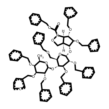 C[C@H]1O[C@@H](O[C@H]2[C@H](OCc3ccccc3)[C@@H](OCc3ccccc3)[C@@H](O[C@@H]3[C@H]4CON(C(=O)OCc5ccccc5)[C@H]4[C@H](OCc4ccccc4)[C@@H]3OCc3ccccc3)O[C@@H]2COCc2ccccc2)[C@H](OCc2ccccc2)[C@@H](OCc2ccccc2)[C@@H]1OCc1ccccc1